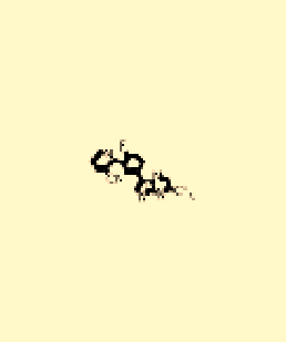 N#Cc1cccnc1-c1cc(-c2cnc3nc(C(F)(F)F)cnn23)ccc1F